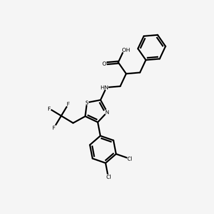 O=C(O)C(CNc1nc(-c2ccc(Cl)c(Cl)c2)c(CC(F)(F)F)s1)Cc1ccccc1